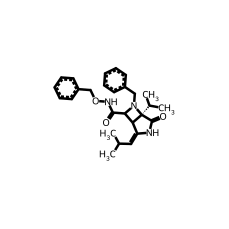 CC(C)C=C1NC(=O)[C@@]2(C(C)C)C1C(C(=O)NOCc1ccccc1)N2Cc1ccccc1